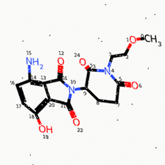 COCCN1C(=O)CCC(N2C(=O)c3c(N)ccc(O)c3C2=O)C1=O